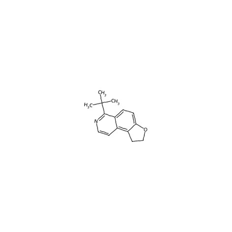 CC(C)(C)c1nccc2c3c(ccc12)OCC3